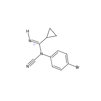 [H]/N=C(\C1CC1)N(C#N)c1ccc(Br)cc1